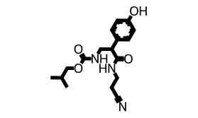 CC(C)COC(=O)NCC(C(=O)NCCC#N)c1ccc(O)cc1